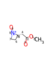 COC(=O)C[C@@H]1CC[N+]1=O